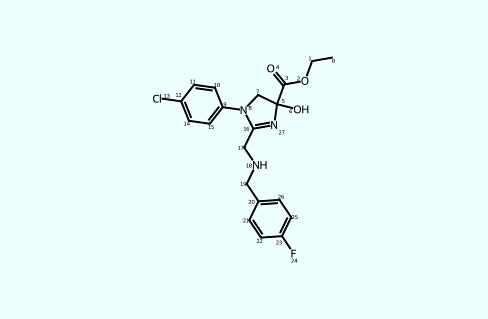 CCOC(=O)C1(O)CN(c2ccc(Cl)cc2)C(CNCc2ccc(F)cc2)=N1